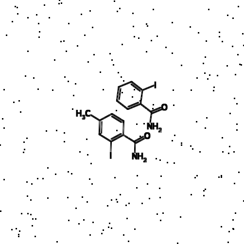 Cc1ccc(C(N)=O)c(I)c1.NC(=O)c1ccccc1I